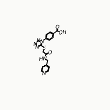 O=C(CSc1nnnn1-c1ccc(C(=O)O)cc1)NCc1ccncc1